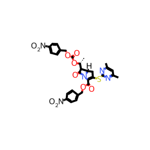 Cc1cc(C)nc(SC2=C(C(=O)OCc3ccc([N+](=O)[O-])cc3)N3C(=O)C([C@@H](C)OC(=O)OCc4ccc([N+](=O)[O-])cc4)[C@@H]3C2)n1